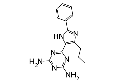 CCCc1nc(-c2ccccc2)[nH]c1-c1nc(N)nc(N)n1